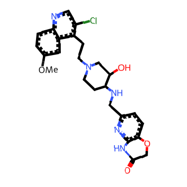 COc1ccc2ncc(Cl)c(CCN3CCC(NCc4ccc5c(n4)NC(=O)CO5)C(O)C3)c2c1